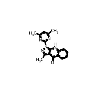 Cc1cc(C)nc(-n2nc(C)c3c(=O)c4ccccc4[nH]c32)n1